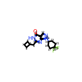 O=c1[nH]c(CC2CCC2)nc2c1cnn2C1CCC(F)(F)CC1